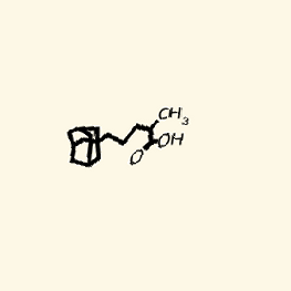 CC(CCCC12CC3CC(CC(C3)C1)C2)C(=O)O